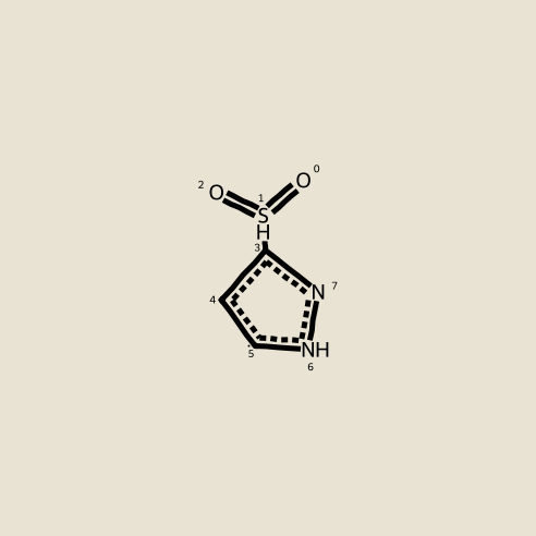 O=[SH](=O)c1c[c][nH]n1